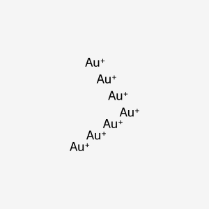 [Au+].[Au+].[Au+].[Au+].[Au+].[Au+].[Au+]